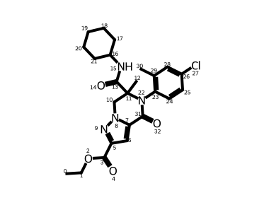 CCOC(=O)c1cc2n(n1)CC(C)(C(=O)NC1CCCCC1)N(c1ccc(Cl)cc1C)C2=O